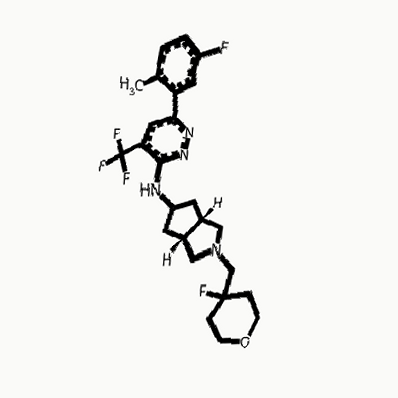 Cc1ccc(F)cc1-c1cc(C(F)(F)F)c(NC2C[C@@H]3CN(CC4(F)CCOCC4)C[C@@H]3C2)nn1